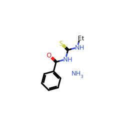 CCNC(=S)NC(=O)c1ccccc1.N